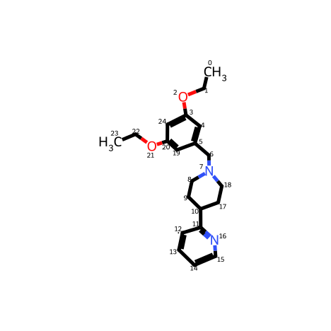 CCOc1cc(CN2CCC(c3[c]cccn3)CC2)cc(OCC)c1